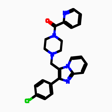 O=C(c1ccccn1)N1CCN(Cc2c(-c3ccc(Cl)cc3)nc3ccccn23)CC1